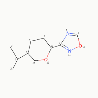 CC(C)C1CCC(c2ncon2)OC1